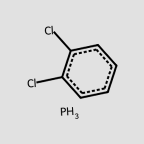 Clc1ccccc1Cl.P